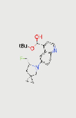 CC(C)(C)OC(O)c1ccnc2ccc(N3CC4(CC4)C[C@@H]3CF)cc12